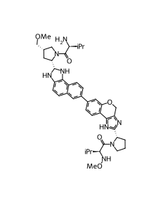 COC[C@H]1C[C@@H](C2Nc3ccc4cc(-c5ccc6c(c5)OCc5nc([C@@H]7CCCN7C(=O)[C@@H](NOC)C(C)C)[nH]c5-6)ccc4c3N2)N(C(=O)[C@@H](N)C(C)C)C1